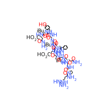 CC[C@H](C)[C@H](NC(=O)[C@H](Cc1c[nH]c2ccccc12)NC(=O)[C@H](CCC(=O)O)NC(=O)[C@H](CC(C)C)NC(=O)CNC(=O)[C@H](CCC(N)=O)NC(=O)CNC(=O)[C@@H]1CCCN1C(=O)[C@@H](N)CCCNC(=N)N)C(=O)NCC(=O)N[C@@H](Cc1ccc(O)cc1)C(=O)N[C@H](C(=O)N[C@@H](CC(N)=O)C(=O)O)[C@@H](C)CC